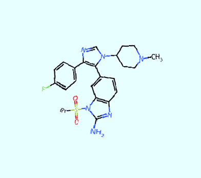 CC(C)S(=O)(=O)n1c(N)nc2ccc(-c3c(-c4ccc(F)cc4)ncn3C3CCN(C)CC3)cc21